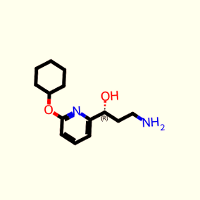 NCC[C@@H](O)c1cccc(OC2CCCCC2)n1